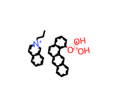 CCC[n+]1ccc2ccccc2c1.OB(O)Oc1cccc2ccc3cc4ccccc4cc3c12